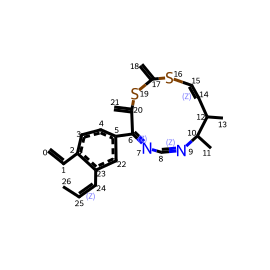 C=Cc1ccc(/C2=N/C=N\C(C)C(C)/C=C\SC(=C)SC2=C)cc1/C=C\C